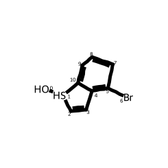 O[SH]1C=Cc2c(Br)cccc21